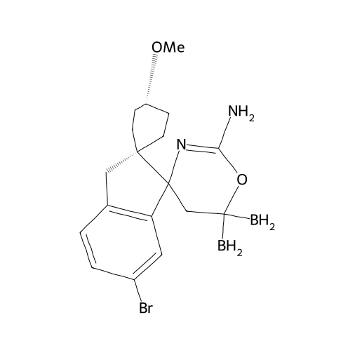 BC1(B)CC2(N=C(N)O1)c1cc(Br)ccc1C[C@]21CC[C@@H](OC)CC1